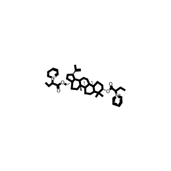 C=C(C)[C@@H]1CC[C@]2(COC(=O)C(CC)[N+]3=CC=CCC3)CC[C@]3(C)C(CCC4[C@@]5(C)CC[C@H](OC(=O)C(CC)[n+]6ccccc6)C(C)(C)C5CC[C@]43C)C12